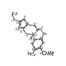 COc1cc2c(cc1O)[C@@H]1Cc3sc(CF)cc3CN1CC2